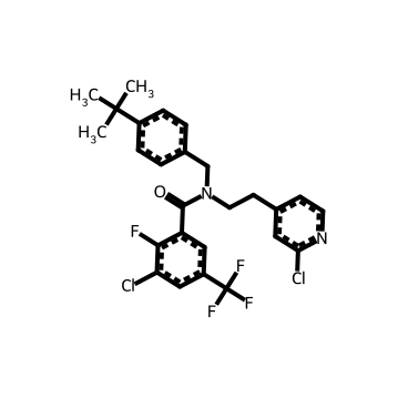 CC(C)(C)c1ccc(CN(CCc2ccnc(Cl)c2)C(=O)c2cc(C(F)(F)F)cc(Cl)c2F)cc1